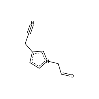 N#CCc1ccn(CC=O)c1